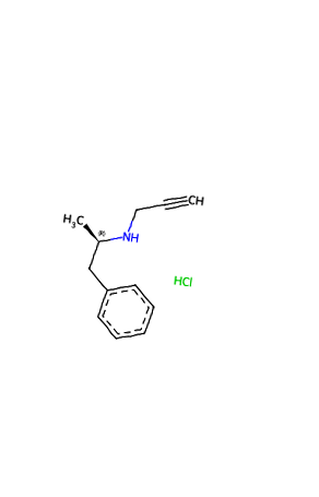 C#CCN[C@H](C)Cc1ccccc1.Cl